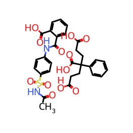 CC(=O)NS(=O)(=O)c1ccc(NC(=O)c2ccccc2C(=O)O)cc1.O=C(O)CCC(CCC(=O)O)(C(=O)O)c1ccccc1